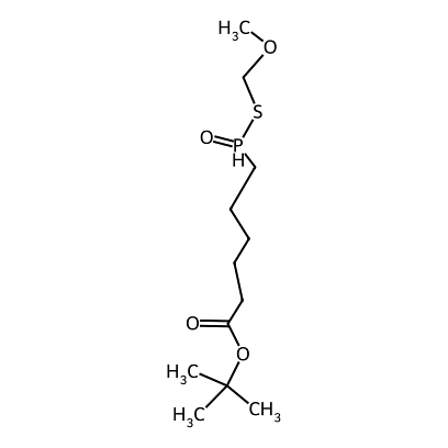 COCS[PH](=O)CCCCCC(=O)OC(C)(C)C